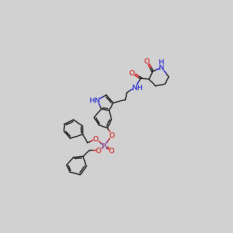 O=C1NCCCC1C(=O)NCCc1c[nH]c2ccc(OP(=O)(OCc3ccccc3)OCc3ccccc3)cc12